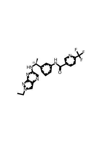 CCn1cc2ncc(N[C@@H](C)c3cccc(NC(=O)c4ccc(C(F)(F)F)nc4)c3)nc2n1